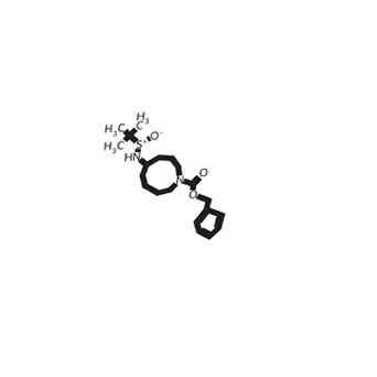 CC(C)(C)[S+]([O-])NC1CCCCN(C(=O)OCc2ccccc2)CCC1